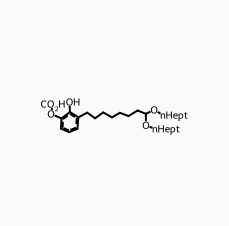 CCCCCCCOC(CCCCCCCc1cccc(OC(=O)O)c1O)OCCCCCCC